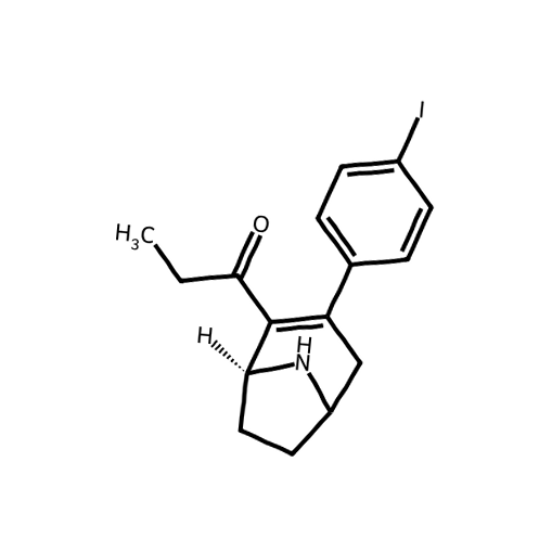 CCC(=O)C1=C(c2ccc(I)cc2)CC2CC[C@@H]1N2